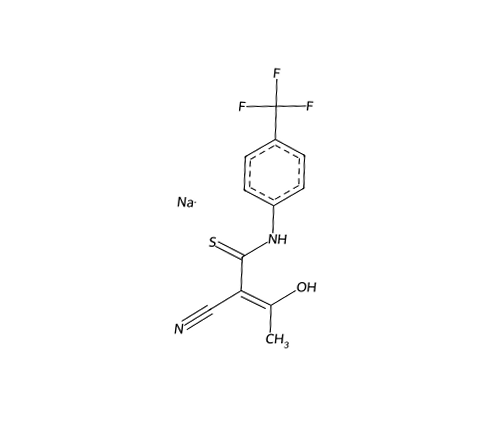 CC(O)=C(C#N)C(=S)Nc1ccc(C(F)(F)F)cc1.[Na]